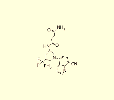 N#Cc1ccc(N2CC(NC(=O)CCC(N)=O)CC(C(F)(F)P)C2)c2cccnc12